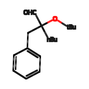 CCCCC(C=O)(Cc1ccccc1)OC(C)(C)C